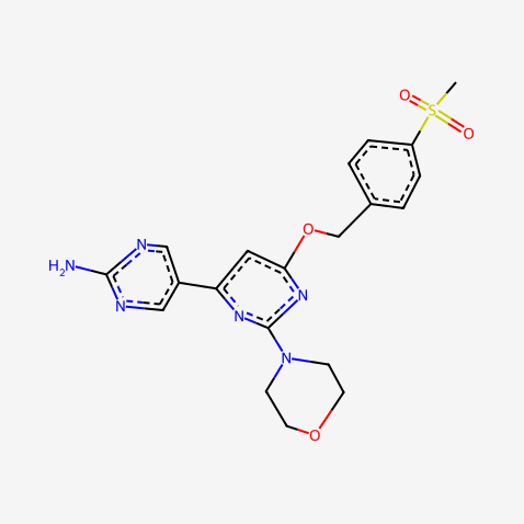 CS(=O)(=O)c1ccc(COc2cc(-c3cnc(N)nc3)nc(N3CCOCC3)n2)cc1